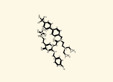 CCN(CC)CCN(Cc1ccc(-c2ccc(C(F)(F)F)cc2)cc1)C(=O)Cn1cc(CCNS(C)(=O)=O)c(=O)nc1SCc1ccc(F)cc1